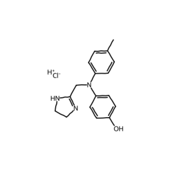 Cc1ccc(N(CC2=NCCN2)c2ccc(O)cc2)cc1.[Cl-].[H+]